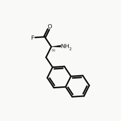 N[C@@H](Cc1ccc2ccccc2c1)C(=O)F